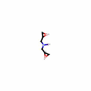 IN(CC1CO1)CC1CO1